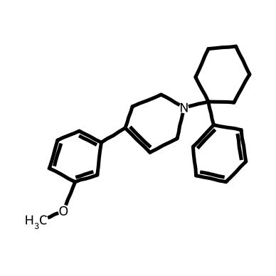 COc1cccc(C2=CCN(C3(c4ccccc4)CCCCC3)CC2)c1